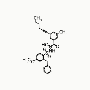 CCCCC#Cc1cc(C)cc(C(=O)N(O)NS(=O)(=O)c2ccc(OC)cc2Cc2ccccc2)c1